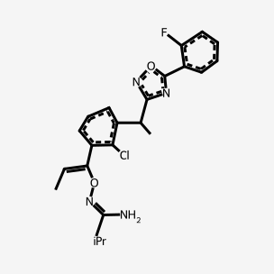 C/C=C(\O/N=C(\N)C(C)C)c1cccc(C(C)c2noc(-c3ccccc3F)n2)c1Cl